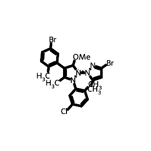 COC1C(c2cc(Br)ccc2C)=C(C)N(c2cc(Cl)ccc2C)[N+]1n1nc(Br)cc1C